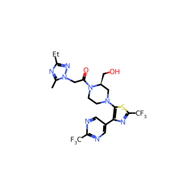 CCc1nc(C)n(CC(=O)N2CCN(c3sc(C(F)(F)F)nc3-c3cnc(C(F)(F)F)nc3)C[C@@H]2CO)n1